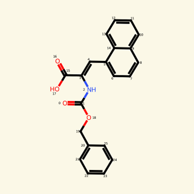 O=C(N/C(=C\c1cccc2ccccc12)C(=O)O)OCc1ccccc1